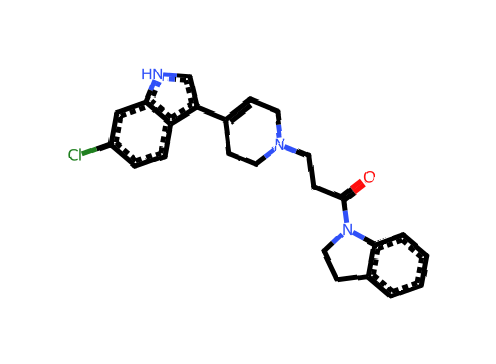 O=C(CCN1CC=C(c2c[nH]c3cc(Cl)ccc23)CC1)N1CCc2ccccc21